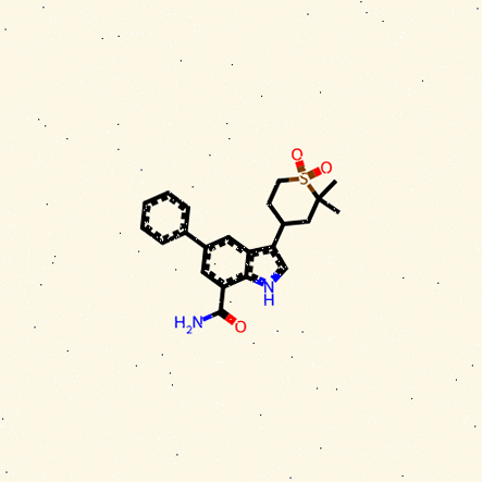 CC1(C)CC(c2c[nH]c3c(C(N)=O)cc(-c4ccccc4)cc23)CCS1(=O)=O